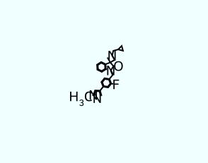 Cn1cc(-c2ccc(CN3C(=O)C4(CN(CC5CC5)C4)c4ccccc43)c(F)c2)cn1